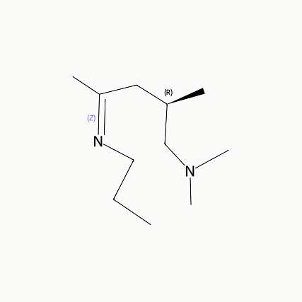 CCC/N=C(/C)C[C@@H](C)CN(C)C